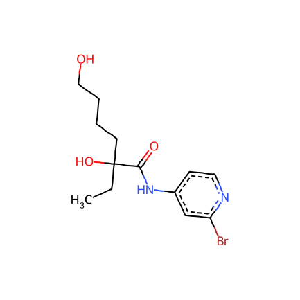 CCC(O)(CCCCO)C(=O)Nc1ccnc(Br)c1